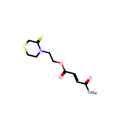 COC(=O)/C=C/C(=O)OCCN1CCSCC1=S